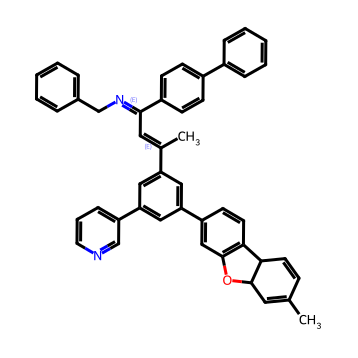 CC1=CC2Oc3cc(-c4cc(/C(C)=C/C(=N\Cc5ccccc5)c5ccc(-c6ccccc6)cc5)cc(-c5cccnc5)c4)ccc3C2C=C1